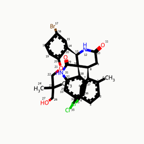 Cc1ccc(Cl)cc1[C@@H]1CC(=O)N[C@H](c2cc(Br)ccc2OCC(C)(C)CO)[C@@]12C(=O)Nc1cc(Cl)ccc12